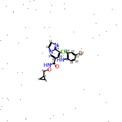 O=C(NOCC1CC1)c1cn2ccnc2cc1Nc1ccc(Br)cc1Cl